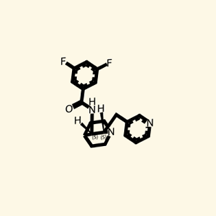 O=C(N[C@H]1C2CCN(CC2)[C@H]1Cc1cccnc1)c1cc(F)cc(F)c1